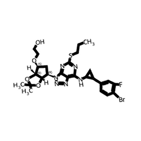 CCCSc1nc(NC2CC2c2ccc(Br)c(F)c2)c2nnn([C@@H]3C[C@H](OCCO)[C@H]4OC(C)(C)O[C@H]43)c2n1